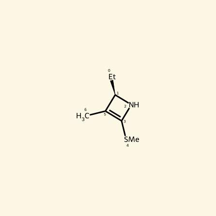 CC[C@H]1NC(SC)=C1C